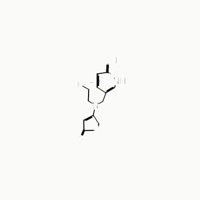 C=C(Cl)/C=C\C(=C/N)CN(CC(F)F)C1=CC(=O)OC1